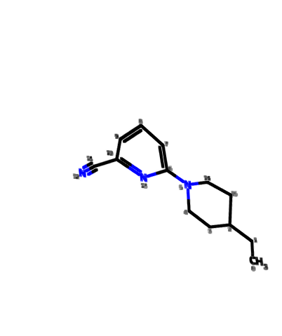 CCC1CCN(c2cccc(C#N)n2)CC1